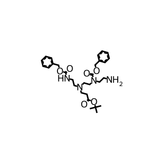 CC(C)(C)OC(=O)CCN(CCNC(=O)OCc1ccccc1)CCN(CCN)C(=O)OCc1ccccc1